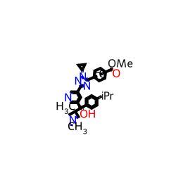 COC(=O)C12CCC(c3nc(-c4cncc([C@@](O)(c5ccc(C(C)C)cc5)C5(C)CN(C)C5)c4)nn3C3CC3)(CC1)CC2